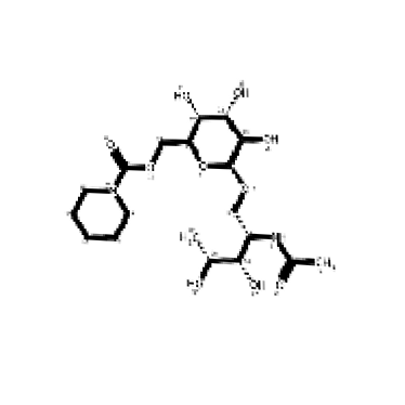 CC(=O)N[C@@H](CO[C@H]1OC(COC(=O)N2CCCCC2)[C@H](O)[C@H](O)C1O)[C@H](O)[C@@H](C)O